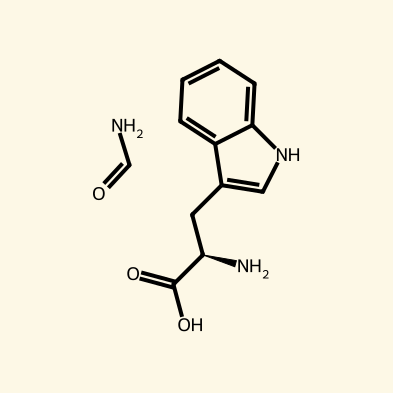 NC=O.N[C@H](Cc1c[nH]c2ccccc12)C(=O)O